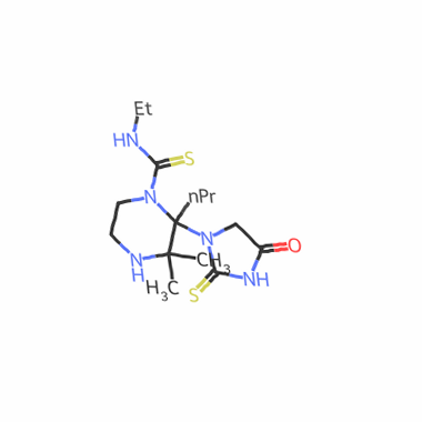 CCCC1(N2CC(=O)NC2=S)N(C(=S)NCC)CCNC1(C)C